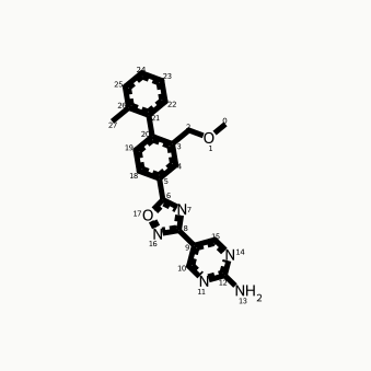 COCc1cc(-c2nc(-c3cnc(N)nc3)no2)ccc1-c1ccccc1C